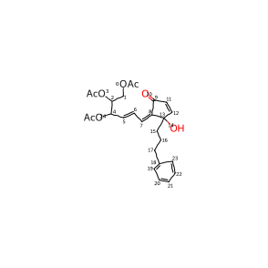 CC(=O)OCC(OC(C)=O)C(C=CC=C1C(=O)C=CC1(O)CCCc1ccccc1)OC(C)=O